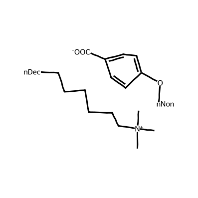 CCCCCCCCCCCCCCCC[N+](C)(C)C.CCCCCCCCCOc1ccc(C(=O)[O-])cc1